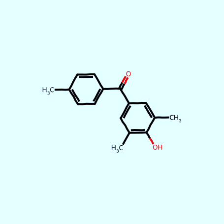 Cc1ccc(C(=O)c2cc(C)c(O)c(C)c2)cc1